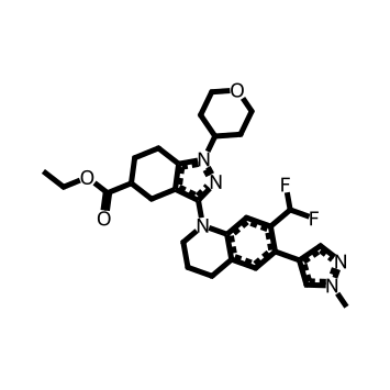 CCOC(=O)C1CCc2c(c(N3CCCc4cc(-c5cnn(C)c5)c(C(F)F)cc43)nn2C2CCOCC2)C1